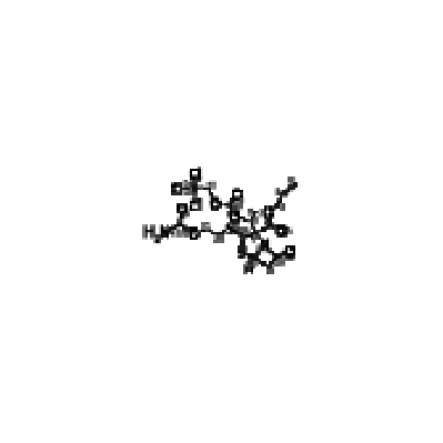 C=CCOC(=O)C1(C(C)OC(=O)OCC(Cl)(Cl)Cl)C(SCCOC(N)=O)S[C@@H]2CC(=O)N21